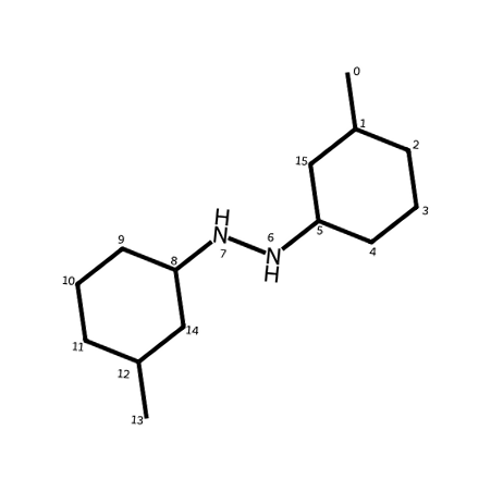 CC1CCCC(NNC2CCCC(C)C2)C1